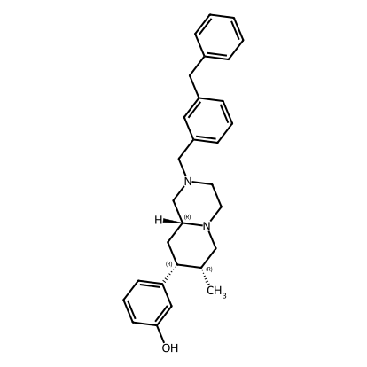 C[C@H]1CN2CCN(Cc3cccc(Cc4ccccc4)c3)C[C@H]2C[C@H]1c1cccc(O)c1